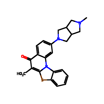 CN1CC2CN(c3ccc4c(=O)c(C(=O)O)c5sc6ccccc6n5c4c3)CC2C1